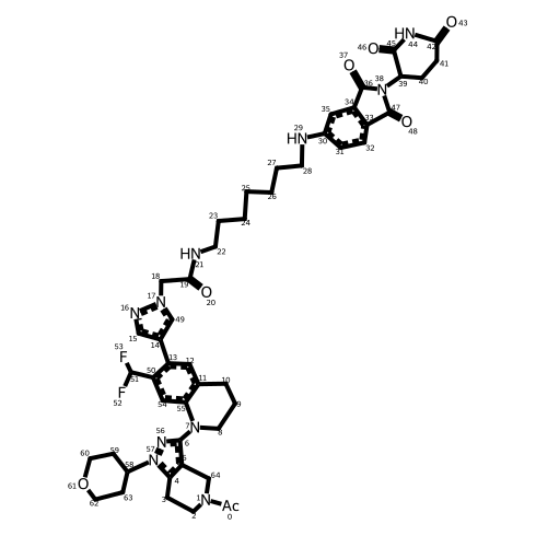 CC(=O)N1CCc2c(c(N3CCCc4cc(-c5cnn(CC(=O)NCCCCCCCNc6ccc7c(c6)C(=O)N(C6CCC(=O)NC6=O)C7=O)c5)c(C(F)F)cc43)nn2C2CCOCC2)C1